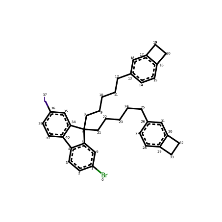 Brc1ccc2c(c1)C(CCCCCc1ccc3c(c1)CC3)(CCCCCc1ccc3c(c1)CC3)c1cc(I)ccc1-2